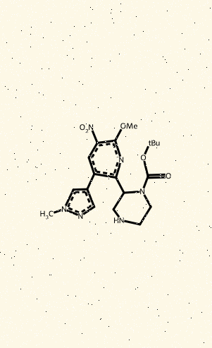 COc1nc(C2CNCCN2C(=O)OC(C)(C)C)c(-c2cnn(C)c2)cc1[N+](=O)[O-]